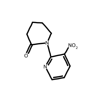 O=C1CCCCN1c1ncccc1[N+](=O)[O-]